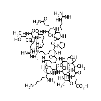 C[C@H](NC(=O)[C@H](C)NC(=O)[C@H](CO)NC(=O)[C@@H](N)CCCCN)C(=O)N[C@@H](CCC(=O)O)C(=O)N[C@@H](C)C(=O)N[C@@H](CO)C(=O)N[C@@H](CCCCN)C(=O)N[C@@H](CCCCN)C(=O)N1CCC[C@H]1C(=O)N[C@@H](CCCNC(=N)N)C(=O)N[C@@H](CCC(N)=O)C(=O)N[C@@H](CCCCN)C(=O)N[C@@H](CCCNC(=N)N)C(=O)N[C@H](C(=O)O)[C@@H](C)O